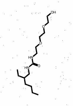 CCCCC(CC)CNC(=O)NCCOCCOCCO